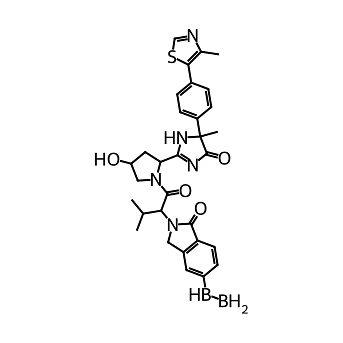 BBc1ccc2c(c1)CN(C(C(=O)N1CC(O)CC1C1=NC(=O)C(C)(c3ccc(-c4scnc4C)cc3)N1)C(C)C)C2=O